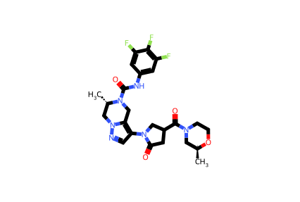 C[C@H]1CN(C(=O)C2CC(=O)N(c3cnn4c3CN(C(=O)Nc3cc(F)c(F)c(F)c3)[C@@H](C)C4)C2)CCO1